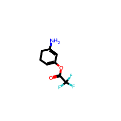 NC1=CC(OC(=O)C(F)(F)F)=[C]CC1